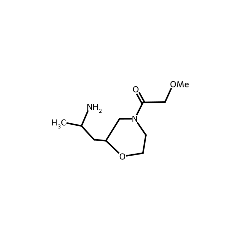 COCC(=O)N1CCOC(CC(C)N)C1